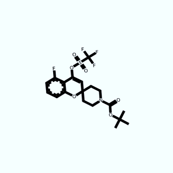 CC(C)(C)OC(=O)N1CCC2(C=C(OS(=O)(=O)C(F)(F)F)c3c(F)cccc3O2)CC1